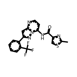 Cc1nc(C(=O)Nc2ccnc3cc(-c4ccccc4C(F)(F)F)nn23)cs1